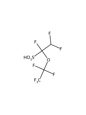 O=S(=O)(O)C(F)(OC(F)(F)C(F)(F)F)C(F)F